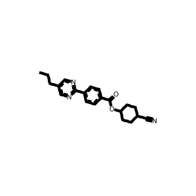 CCCc1cnc(-c2ccc(C(=O)OC3CCC(C#N)CC3)cc2)nc1